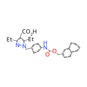 CCc1nn(Cc2ccc(NC(=O)OCc3ccc4ccccc4c3)cc2)c(CC)c1CC(=O)O